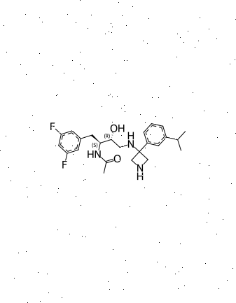 CC(=O)N[C@@H](Cc1cc(F)cc(F)c1)[C@H](O)CNC1(c2cccc(C(C)C)c2)CNC1